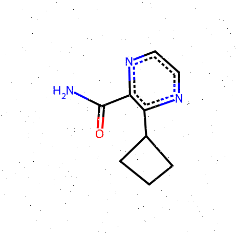 NC(=O)c1nccnc1C1CCC1